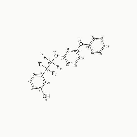 Oc1cccc(C(F)(F)C(F)(F)Oc2cccc(Oc3ccccc3)c2)c1